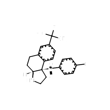 O=S(=O)(c1ccc(I)cc1)[C@@]12CCN[C@@H]1CCc1cc(C(F)(C(F)(F)F)C(F)(F)F)ccc12